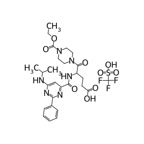 CCOC(=O)N1CCN(C(=O)C(CCC(=O)O)NC(=O)c2cc(NC(C)C)nc(-c3ccccc3)n2)CC1.O=S(=O)(O)C(F)(F)F